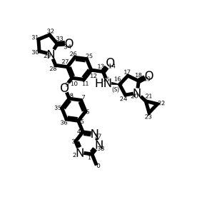 Cc1ncc(-c2ccc(Oc3cc(C(=O)N[C@H]4CC(=O)N(C5CC5)C4)ccc3CN3CCCC3=O)cc2)nn1